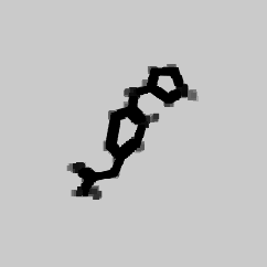 NC(=O)[CH]c1ccc(O[C@H]2CCOC2)nc1